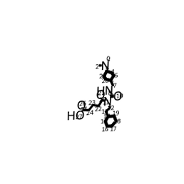 CN(C)c1ccc(CNC(=O)N(CCc2ccccc2)C(=O)CCCC(=O)O)cc1